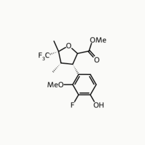 COC(=O)C1O[C@@](C)(C(F)(F)F)[C@@H](C)[C@H]1c1ccc(O)c(F)c1OC